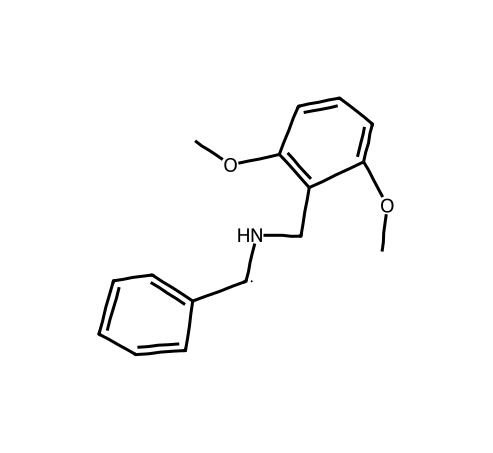 COc1cccc(OC)c1CN[CH]c1ccccc1